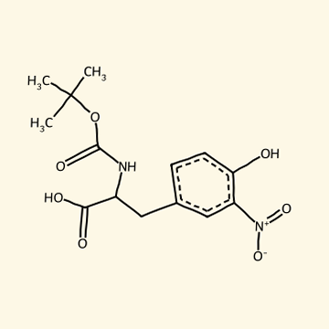 CC(C)(C)OC(=O)NC(Cc1ccc(O)c([N+](=O)[O-])c1)C(=O)O